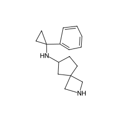 c1ccc(C2(NC3CCC4(CNC4)C3)CC2)cc1